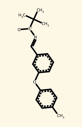 Cc1ccc(Oc2cccc(/C=N/[S+]([O-])C(C)(C)C)c2)cc1